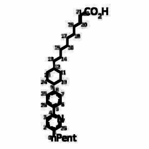 CCCCCc1ccc(-c2ccc([C@H]3CC[C@H](CCCCCCC/C=C/C(=O)O)CC3)cc2)nc1